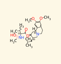 COc1cc2c(cc1OC)[C@H]1C[C@@H](OC(=O)[C@@H](NB(C)O)C(C)C)[C@H](CC(C)C)CN1CC2